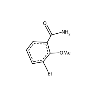 CCc1cccc(C(N)=O)c1OC